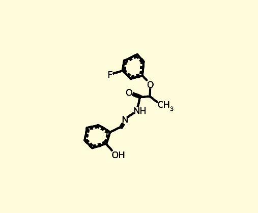 CC(Oc1cccc(F)c1)C(=O)NN=Cc1ccccc1O